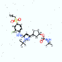 [2H]CS(=O)(=O)c1ccc(Nc2cc(C3CCC(OC(=O)NC(C)C)C3)nn2C(C)(C)C)c(F)c1